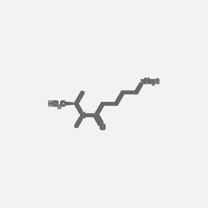 CCCCCCCCCCCC(=O)N(C)[C@@H](C)C(=O)O